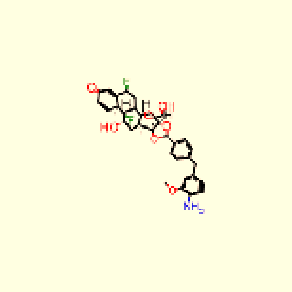 COc1cc(Cc2ccc([C@@H]3O[C@@H]4C[C@H]5[C@@H]6C[C@H](F)C7=CC(=O)C=C[C@]7(C)[C@@]6(F)[C@@H](O)C[C@]5(C)[C@]4(C(=O)CO)O3)cc2)c#cc1N